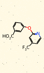 O=C(O)c1cccc(Oc2cc(C(F)(F)F)ccn2)c1